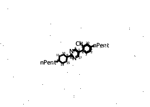 CCCCCc1ccc(-c2cnc(C3CCC(CCCCC)CC3)nc2)c(Cl)c1